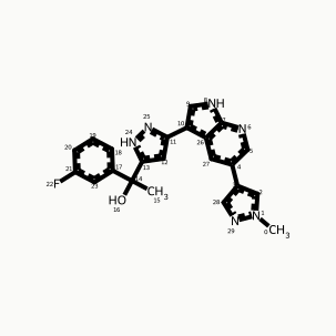 Cn1cc(-c2cnc3[nH]cc(-c4cc(C(C)(O)c5cccc(F)c5)[nH]n4)c3c2)cn1